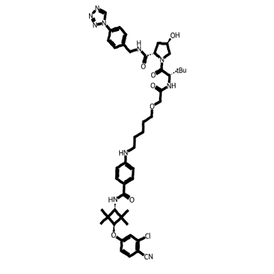 CC(C)(C)[C@H](NC(=O)COCCCCCNc1ccc(C(=O)N[C@H]2C(C)(C)[C@H](Oc3ccc(C#N)c(Cl)c3)C2(C)C)cc1)C(=O)N1C[C@H](O)C[C@H]1C(=O)NCc1ccc(-n2cnnn2)cc1